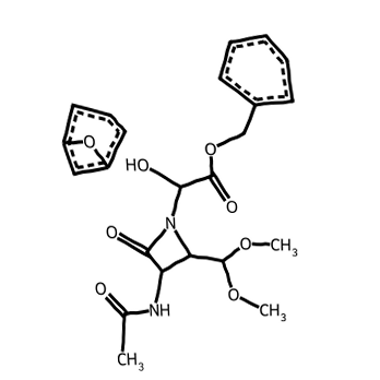 COC(OC)C1C(NC(C)=O)C(=O)N1C(O)C(=O)OCc1ccccc1.c1cc2cc(c1)O2